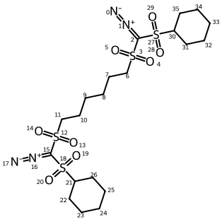 [N-]=[N+]=C(S(=O)(=O)CCCCCCS(=O)(=O)C(=[N+]=[N-])S(=O)(=O)C1CCCCC1)S(=O)(=O)C1CCCCC1